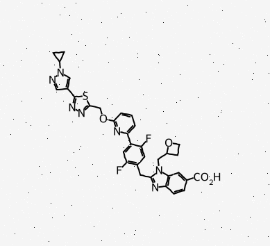 O=C(O)c1ccc2nc(Cc3cc(F)c(-c4cccc(OCc5nnc(-c6cnn(C7CC7)c6)s5)n4)cc3F)n(CC3CCO3)c2c1